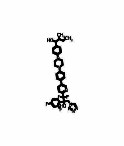 CCC(C)C(O)c1ccc(N2CCN(c3ccc(-c4ccc(C(F)(F)C(O)(Cn5cnnn5)c5ccc(F)cc5F)nc4)cc3)CC2)cc1